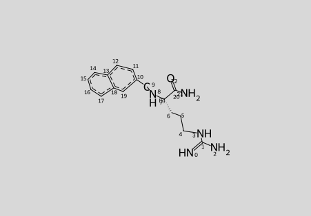 N=C(N)NCCC[C@H](NCc1ccc2ccccc2c1)C(N)=O